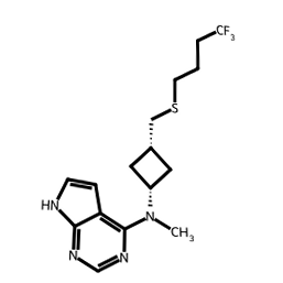 CN(c1ncnc2[nH]ccc12)[C@H]1C[C@@H](CSCCCC(F)(F)F)C1